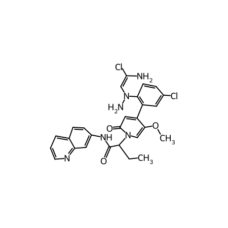 CCC(C(=O)Nc1ccc2cccnc2c1)n1cc(OC)c(-c2cc(Cl)ccc2N(N)/C=C(\N)Cl)cc1=O